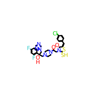 O=C(CN1C(=O)C(=Cc2ccc(Cl)cc2)SC1S)N1CCN(CC(O)(Cn2cncn2)c2ccc(F)cc2F)CC1